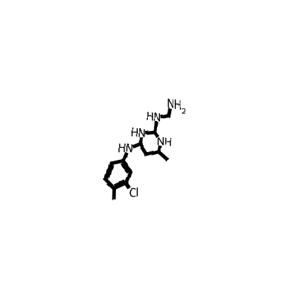 Cc1ccc(NC2CC(C)NC(NCN)N2)cc1Cl